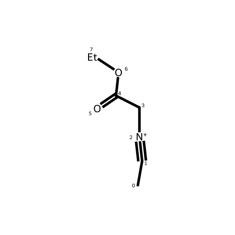 CC#[N+]CC(=O)OCC